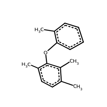 Cc1ccccc1Oc1c(C)ccc(C)c1C